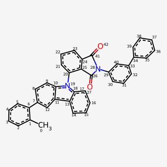 Cc1ccccc1-c1ccc2c(c1)c1ccccc1n2-c1cccc2c1C(=O)N(c1cccc(-c3ccccc3)c1)C2=O